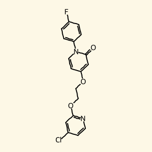 O=c1cc(OCCOc2cc(Cl)ccn2)ccn1-c1ccc(F)cc1